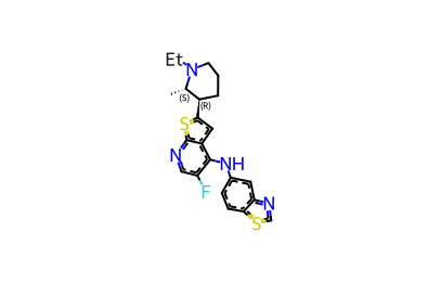 CCN1CCC[C@@H](c2cc3c(Nc4ccc5scnc5c4)c(F)cnc3s2)[C@@H]1C